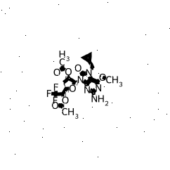 COc1nc(N)nc2c1n(CC1CC1)c(=O)n2[C@@H]1O[C@H]([C@@H](OC(C)=O)C(F)(F)F)C[C@H]1OC(C)=O